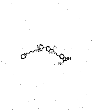 N#Cc1c[nH]c2ccc(CCNC(=O)c3ccc(-c4ccnc(NCCCCCN5CCCCC5)n4)cc3)cc12